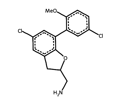 COc1ccc(Cl)cc1-c1cc(Cl)cc2c1OC(CN)C2